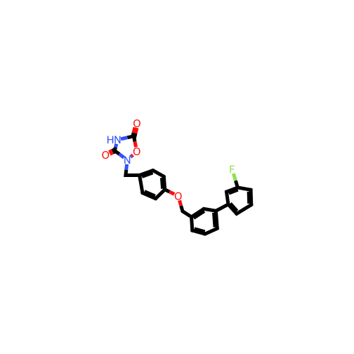 O=c1[nH]c(=O)n(Cc2ccc(OCc3cccc(-c4cccc(F)c4)c3)cc2)o1